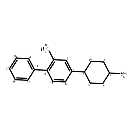 Cc1cc(C2CCC(S)CC2)ccc1-c1ccccc1